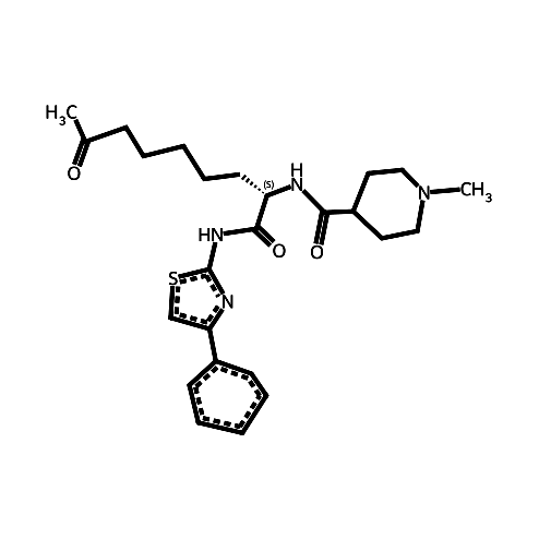 CC(=O)CCCCC[C@H](NC(=O)C1CCN(C)CC1)C(=O)Nc1nc(-c2ccccc2)cs1